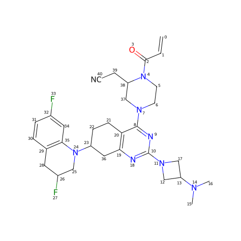 C=CC(=O)N1CCN(c2nc(N3CC(N(C)C)C3)nc3c2CCC(N2CC(F)Cc4ccc(F)cc42)C3)CC1CC#N